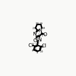 O=c1c2nc(-c3c(Cl)cccc3Cl)oc2nc2n1CCCC2